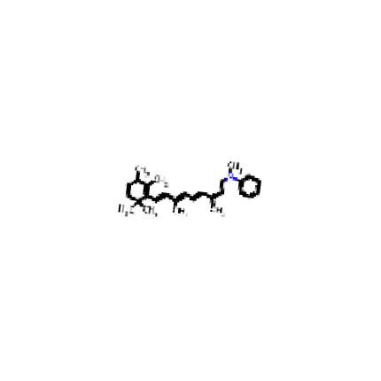 CC1=C(/C=C/C(C)=C/C=C/C(C)=C\CN(C)c2ccccc2)C(C)(C)CCC1C